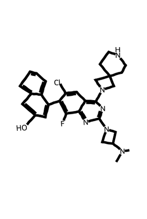 CN(C)C1CN(c2nc(N3CC4(CCNCC4)C3)c3cc(Cl)c(-c4cc(O)cc5ccccc45)c(F)c3n2)C1